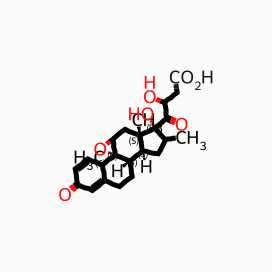 CC1C[C@H]2[C@@H]3CCC4=CC(=O)C=C[C@]4(C)[C@]34OC4C[C@]2(C)[C@@]1(O)C(=O)C(O)CC(=O)O